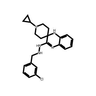 Clc1cccc(CNNC2=Nc3ccccc3NC23CCN(C2CC2)CC3)c1